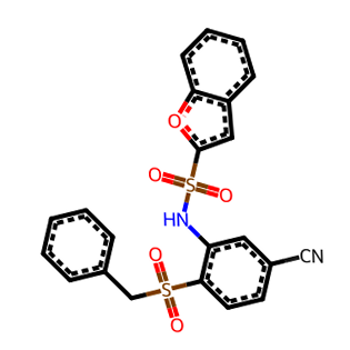 N#Cc1ccc(S(=O)(=O)Cc2ccccc2)c(NS(=O)(=O)c2cc3ccccc3o2)c1